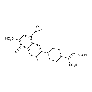 O=C(O)C=C(C(=O)O)N1CCN(c2cc3c(cc2F)c(=O)c(C(=O)O)cn3C2CC2)CC1